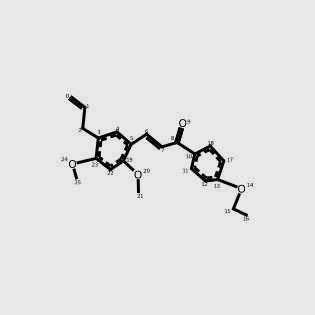 C=CCc1cc(/C=C/C(=O)c2ccc(OCC)cc2)c(OC)cc1OC